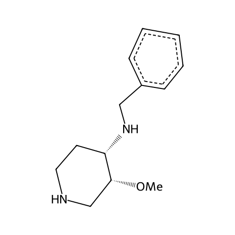 CO[C@@H]1CNCC[C@@H]1NCc1ccccc1